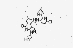 Cc1cc(C(C)Nc2ccc(Cl)nc2-c2ncn(C)n2)c2c(c1)c(=O)n(C)c1c2cnn1C1CNC1